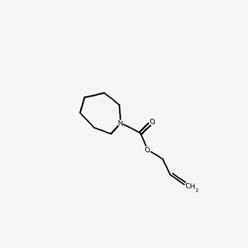 C=CCOC(=O)N1CCCCCC1